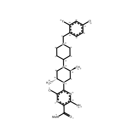 CNC(=O)c1nc(Cl)c(N2C[C@H](C)N(C3CCN(Cc4ccc(Cl)cc4F)CC3)C[C@H]2C)nc1N